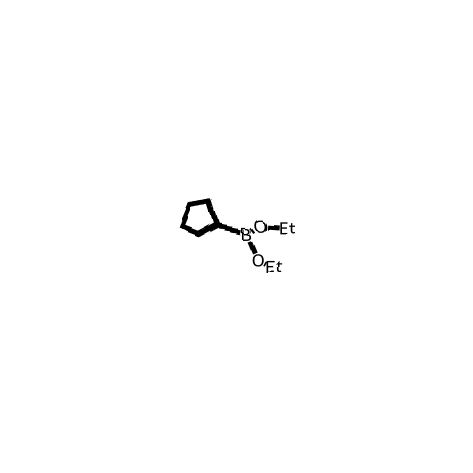 CCOB(OCC)C1CCCC1